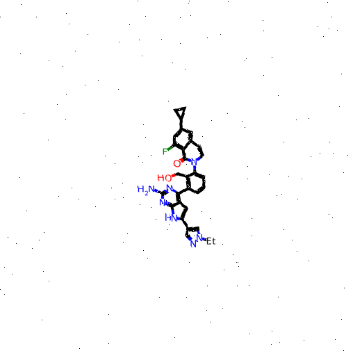 CCn1cc(-c2cc3c(-c4cccc(-n5ccc6cc(C7CC7)cc(F)c6c5=O)c4CO)nc(N)nc3[nH]2)cn1